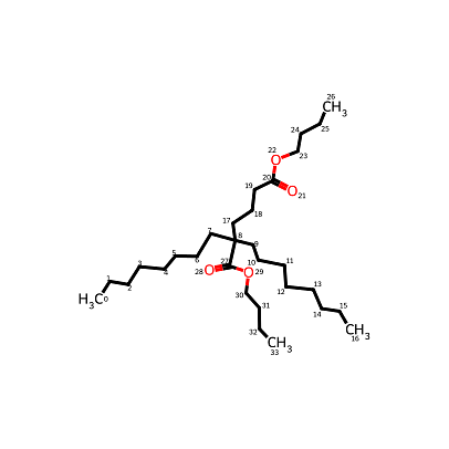 CCCCCCCCC(CCCCCCCC)(CCCC(=O)OCCCC)C(=O)OCCCC